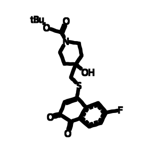 CC(C)(C)OC(=O)N1CCC(O)(CSC2=CC(=O)C(=O)c3ccc(F)cc32)CC1